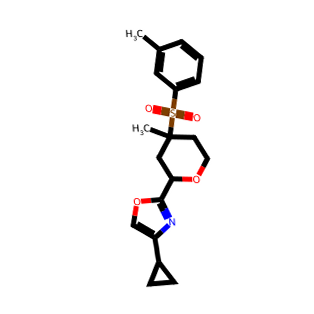 Cc1cccc(S(=O)(=O)C2(C)CCOC(c3nc(C4CC4)co3)C2)c1